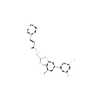 O=C(/C=C/c1cccnc1)NCC1Cc2cc(-c3cc(C(F)(F)F)cc(C(F)(F)F)c3)cc(Cl)c2O1